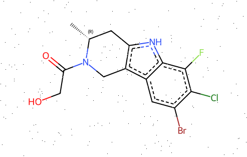 C[C@@H]1Cc2[nH]c3c(F)c(Cl)c(Br)cc3c2CN1C(=O)CO